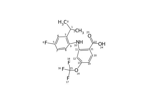 CC(C)c1cc(F)ccc1Nc1cc(OC(F)(F)F)ccc1C(=O)O